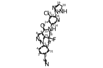 N#Cc1ccc(-n2ncc(C(=O)Nc3cnc(N4N=CCN4)c(Cl)c3)c2C(F)(F)F)cc1